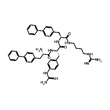 N=C(N)NCCCCNC(=O)[C@H](Cc1ccc(-c2ccccc2)cc1)NC(=O)[C@H](Cc1ccc(NC(=N)N)cc1)NC(=O)[C@@H](N)Cc1ccc(-c2ccccc2)cc1